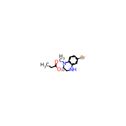 CCC(=O)O[C@H]1CNc2cc(Br)ccc2N1C